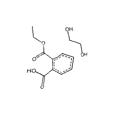 CCOC(=O)c1ccccc1C(=O)O.OCCO